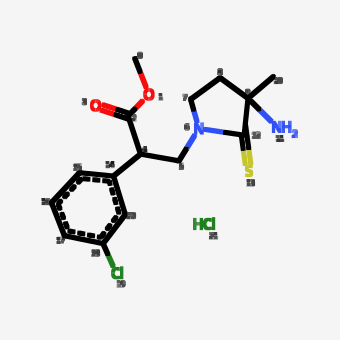 COC(=O)C(CN1CCC(C)(N)C1=S)c1cccc(Cl)c1.Cl